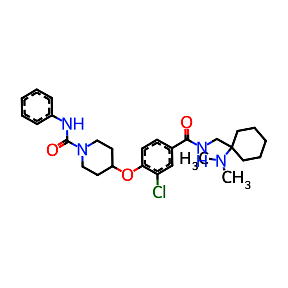 CN(C)C1(CNC(=O)c2ccc(OC3CCN(C(=O)Nc4ccccc4)CC3)c(Cl)c2)CCCCC1